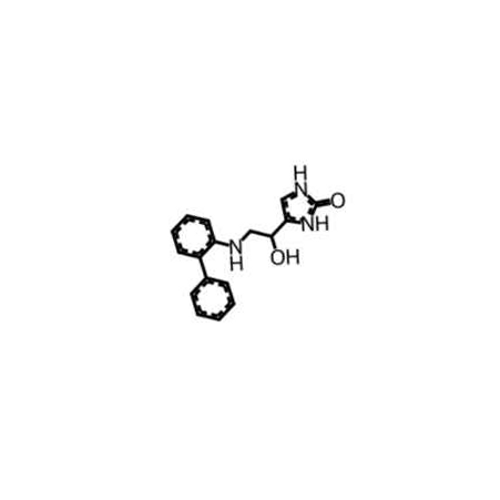 O=c1[nH]cc(C(O)CNc2ccccc2-c2ccccc2)[nH]1